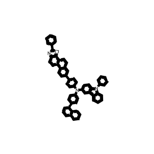 c1ccc(-c2nc3ccc4c5ccc(-c6ccc(N(c7ccc(-c8cccc9ccccc89)cc7)c7ccc8c(c7)c7ccccc7n8-c7ccccc7)cc6)cc5ccc4c3o2)cc1